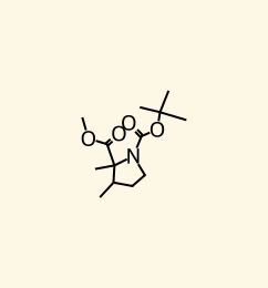 COC(=O)C1(C)C(C)CCN1C(=O)OC(C)(C)C